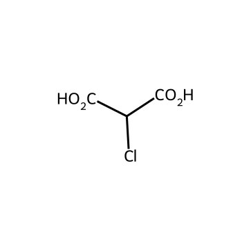 O=C(O)C(Cl)C(=O)O